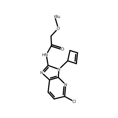 CC(C)(C)OCC(=O)Nc1nc2ccc(Cl)nc2n1C1C=CC1